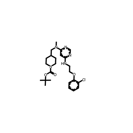 CN(CC1CCN(C(=O)OC(C)(C)C)CC1)c1cc(NCCOc2ccccc2Cl)ncn1